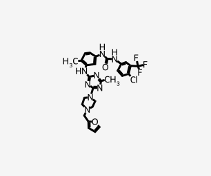 Cc1nc(Nc2cc(NC(=O)Nc3ccc(Cl)c(C(F)(F)F)c3)ccc2C)nc(N2CCN(Cc3ccco3)CC2)n1